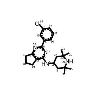 CC1(C)CC(Nc2nc(-c3cccc(Cl)c3)nc3c2CCC3)CC(C)(C)N1